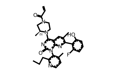 C=CC(=O)N1CCN(c2nc(=O)n(-c3c(C)ccnc3CCC)c3nc(-c4c(O)cccc4F)c(C)cc23)[C@@H](C)C1